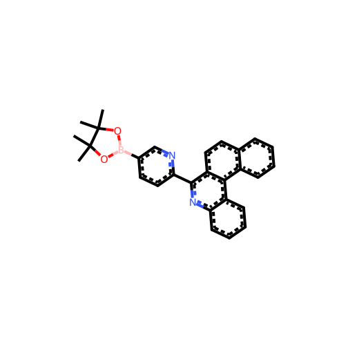 CC1(C)OB(c2ccc(-c3nc4ccccc4c4c3ccc3ccccc34)nc2)OC1(C)C